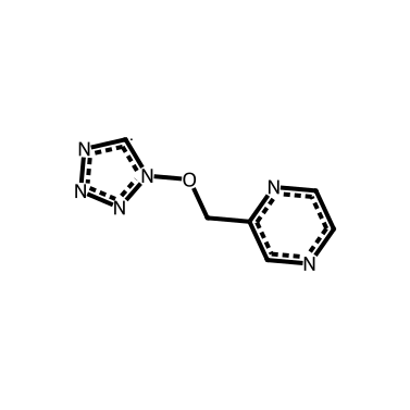 [c]1nnnn1OCc1cnccn1